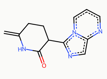 C=C1CCC(c2ncc3ncccn23)C(=O)N1